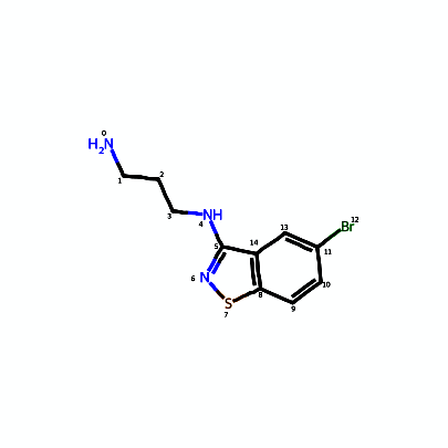 NCCCNc1nsc2ccc(Br)cc12